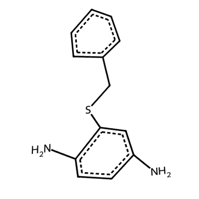 Nc1ccc(N)c(SCc2ccccc2)c1